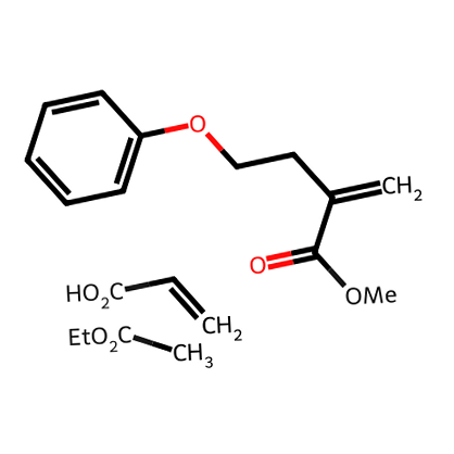 C=C(CCOc1ccccc1)C(=O)OC.C=CC(=O)O.CCOC(C)=O